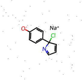 [Na+].[O-]c1ccc(C2(Cl)C=CC=N2)cc1